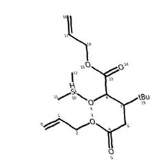 C=CCOC(=O)CC(C(O[SiH](C)C)C(=O)OCC=C)C(C)(C)C